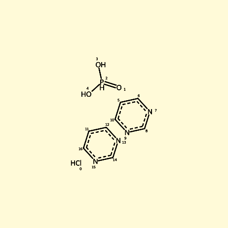 Cl.O=[PH](O)O.c1cncnc1.c1cncnc1